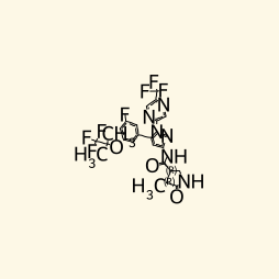 C[C@H]1C(=O)NC[C@@H]1C(=O)Nc1cc(-c2cc(F)cc(OC(C)(C)C(F)(F)F)c2)n(-c2cnc(C(F)(F)F)cn2)n1